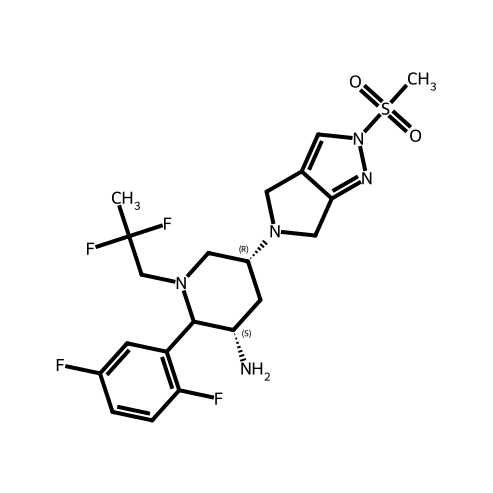 CC(F)(F)CN1C[C@H](N2Cc3cn(S(C)(=O)=O)nc3C2)C[C@H](N)C1c1cc(F)ccc1F